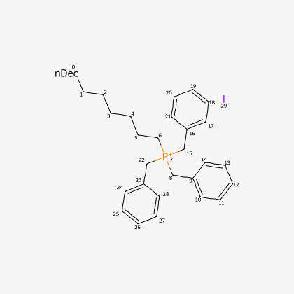 CCCCCCCCCCCCCCCC[P+](Cc1ccccc1)(Cc1ccccc1)Cc1ccccc1.[I-]